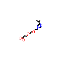 COC(=O)CCOCCOCCn1cnc(C(C)C)c1